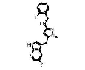 Cn1nc(NCc2ccccc2F)cc1Cc1c[nH]c2ncc(Cl)cc12